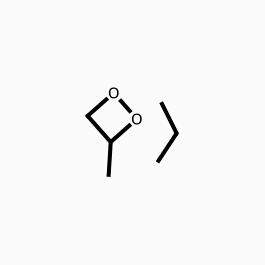 CC1COO1.CCC